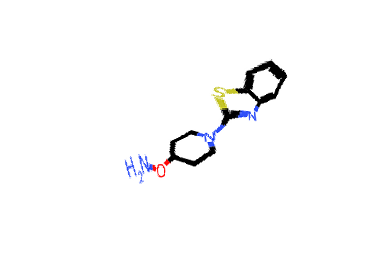 NOC1CCN(c2nc3ccccc3s2)CC1